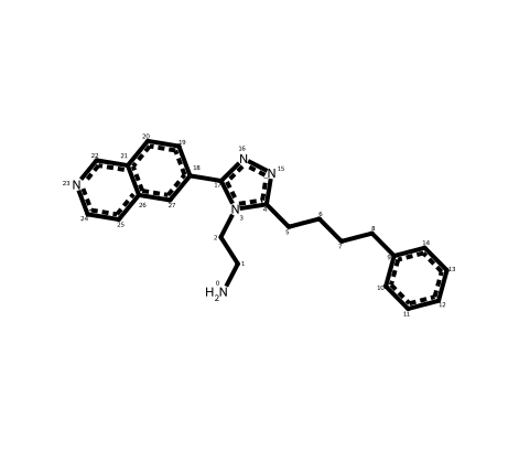 NCCn1c(CCCCc2ccccc2)nnc1-c1ccc2cnccc2c1